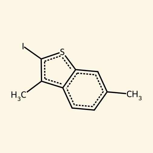 Cc1ccc2c(C)c(I)sc2c1